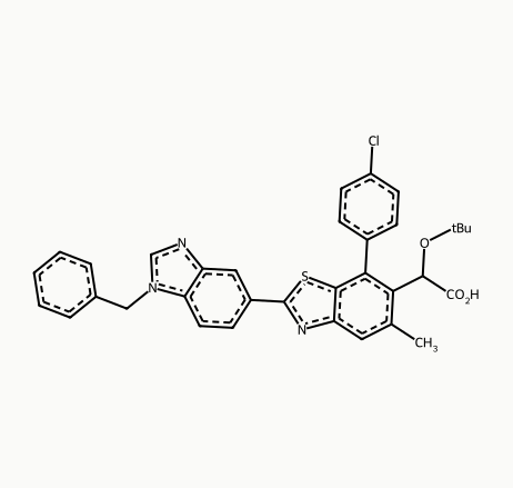 Cc1cc2nc(-c3ccc4c(c3)ncn4Cc3ccccc3)sc2c(-c2ccc(Cl)cc2)c1C(OC(C)(C)C)C(=O)O